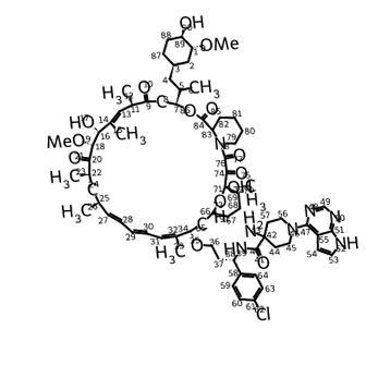 CO[C@@H]1C[C@@H](CC(C)[C@@H]2CC(=O)[C@H](C)/C=C(\C)[C@@H](O)[C@@H](OC)C(=O)[C@H](C)C[C@H](C)/C=C/C=C/C=C(/C)[C@@H](OCC[C@H](NC(=O)C3(N)CCN(c4ncnc5[nH]ccc45)CC3)c3ccc(Cl)cc3)C[C@@H]3CC[C@@H](C)[C@@](O)(O3)C(=O)C(=O)N3CCCCC3C(=O)O2)CC[C@H]1O